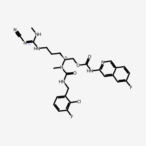 CN/C(=N\C#N)NCCC[C@@H](COC(=O)Nc1cc2cc(F)ccc2cn1)N(C)C(=O)NCc1cccc(F)c1Cl